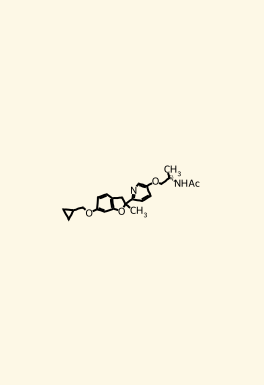 CC(=O)N[C@@H](C)COc1ccc(C2(C)Cc3ccc(OCC4CC4)cc3O2)nc1